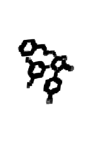 O=C1O[C@@H](COCc2ccccc2)[C@H](c2cc(F)cc(F)c2)N1c1ccc(Cl)cc1